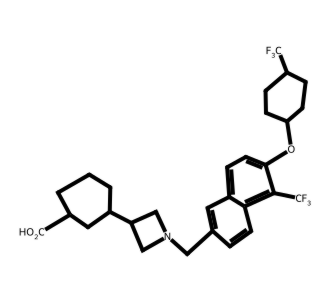 O=C(O)C1CCCC(C2CN(Cc3ccc4c(C(F)(F)F)c(OC5CCC(C(F)(F)F)CC5)ccc4c3)C2)C1